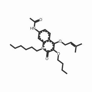 CCCCCCn1c(=O)c(OCCCC)c(OCC=C(C)C)c2ccc(NC(C)=O)cc21